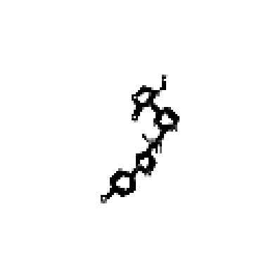 C[C@H](Nc1nccc(N2C(=O)OC[C@@H]2CF)n1)c1cnn(-c2ccc(Cl)cc2)c1